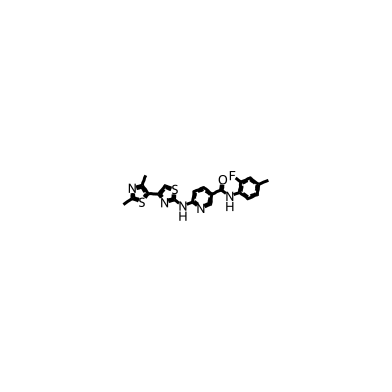 Cc1ccc(NC(=O)c2ccc(Nc3nc(-c4sc(C)nc4C)cs3)nc2)c(F)c1